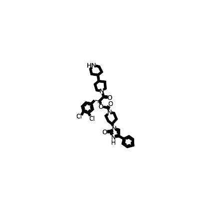 O=C(O[C@H](Cc1ccc(Cl)c(Cl)c1)C(=O)N1CCC(C2CCNCC2)CC1)N1CCC(n2cc(-c3ccccc3)[nH]c2=O)CC1